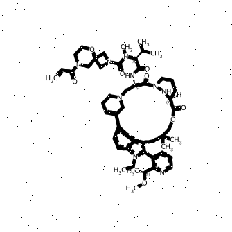 C=CC(=O)N1CCOC2(C1)CN(C(=O)N(C)[C@H](C(=O)N[C@H]1CN3CCC=C(C3)c3ccc4c(c3)c(c(-c3cccnc3[C@H](C)OC)n4CC)CC(C)(C)COC(=O)[C@@H]3CCCN(N3)C1=O)C(C)C)C2